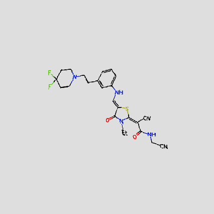 CCn1c(=C(C#N)C(=O)NCC#N)sc(=CNc2cccc(CCN3CCC(F)(F)CC3)c2)c1=O